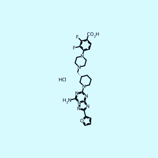 Cl.Nc1nc(N2CCC[C@@H](CN3CCN(c4ccc(C(=O)O)c(F)c4F)CC3)C2)nc2nc(-c3ccco3)nn12